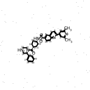 Cc1cc(-c2ccc3cc(S(=O)(=O)N[C@H]4CC[C@H](C(=O)N5CCNCC5c5ccccc5)CC4)ccc3n2)cc(C)n1